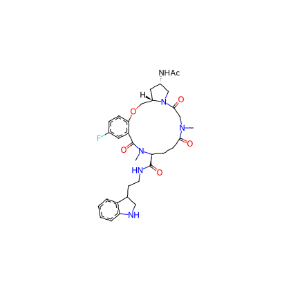 CC(=O)N[C@H]1C[C@H]2COc3ccc(F)cc3C(=O)N(C)[C@H](C(=O)NCCC3CNc4ccccc43)CCC(=O)N(C)CC(=O)N2C1